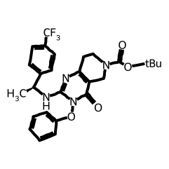 C[C@H](Nc1nc2c(c(=O)n1Oc1ccccc1)CN(C(=O)OC(C)(C)C)CC2)c1ccc(C(F)(F)F)cc1